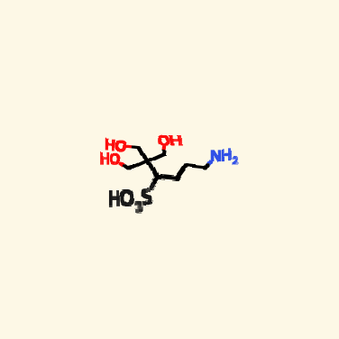 NCCCC(C(CO)(CO)CO)S(=O)(=O)O